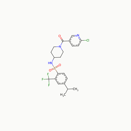 CC(C)c1ccc(S(=O)(=O)NC2CCN(C(=O)c3ccc(Cl)nc3)CC2)c(C(F)(F)F)c1